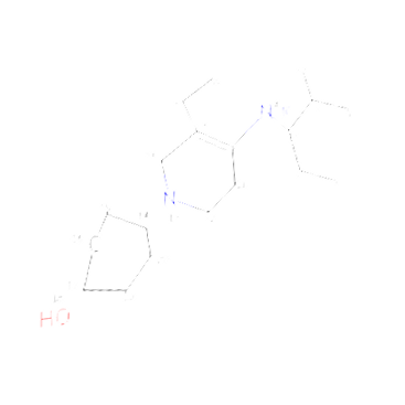 CCC1=C(/N=C(\CC)C(C)C)CCN([C@H]2CC[C@@H](O)CC2)C1